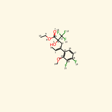 CC=C(CC(O)(C(=O)OCC)C(F)(F)F)c1ccc(F)c(F)c1OC